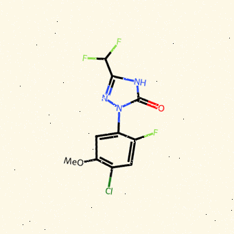 COc1cc(-n2nc(C(F)F)[nH]c2=O)c(F)cc1Cl